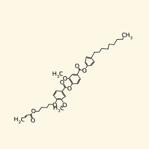 C=CC(=O)OCCCCOc1ccc(C(=O)Oc2ccc(C(=O)Oc3ccc(CCCCCCCCC)cc3)cc2OC)cc1OC